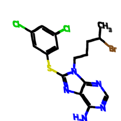 CC(Br)CCCn1c(Sc2cc(Cl)cc(Cl)c2)nc2c(N)ncnc21